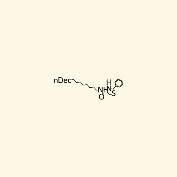 CCCCCCCCCCCCCCCCCCNC(=O)[C@H]1CSC(c2ccccc2)N1